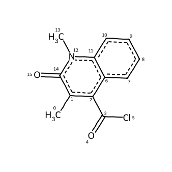 Cc1c(C(=O)Cl)c2ccccc2n(C)c1=O